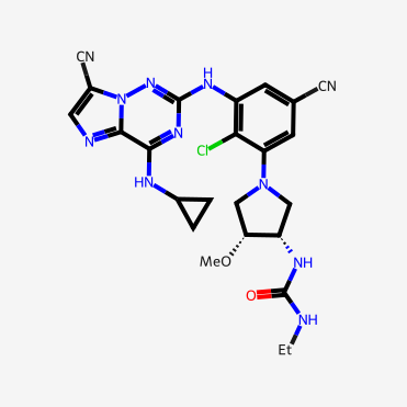 CCNC(=O)N[C@H]1CN(c2cc(C#N)cc(Nc3nc(NC4CC4)c4ncc(C#N)n4n3)c2Cl)C[C@H]1OC